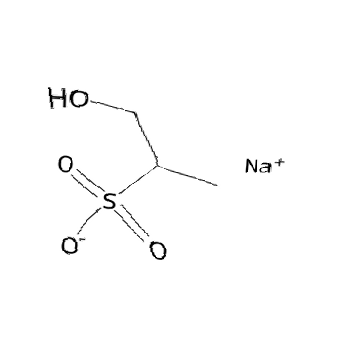 CC(CO)S(=O)(=O)[O-].[Na+]